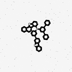 c1ccc(-c2cc(-c3ccccc3)cc(N(c3cccc(-c4ccc5c(c4)sc4ccccc45)c3)c3cccc4oc5c6ccccc6ccc5c34)c2)cc1